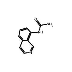 NC(=O)Nc1cccc2ccncc12